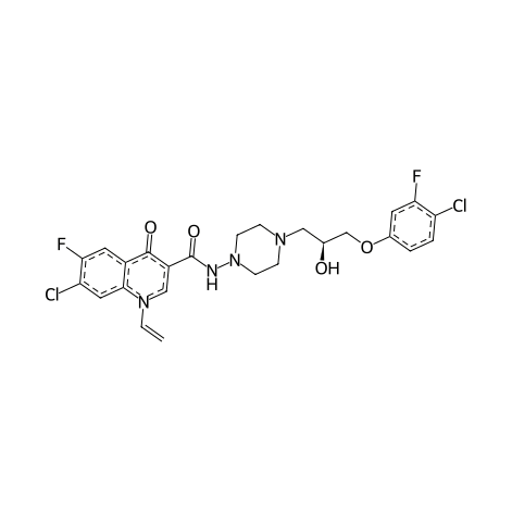 C=Cn1cc(C(=O)NN2CCN(C[C@H](O)COc3ccc(Cl)c(F)c3)CC2)c(=O)c2cc(F)c(Cl)cc21